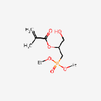 C=C(C)C(=O)OC(CO)CP(=O)(OCC)OCC